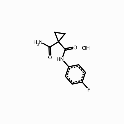 Cl.NC(=O)C1(C(=O)Nc2ccc(F)cc2)CC1